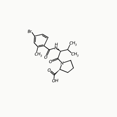 Cc1cc(Br)ccc1C(=O)N[C@H](C(=O)N1CCC[C@H]1C(=O)O)C(C)C